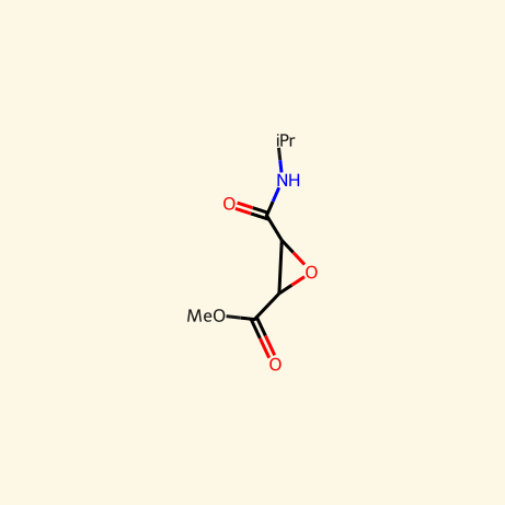 COC(=O)C1OC1C(=O)NC(C)C